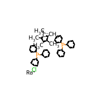 Cc1c(C)c(C)[c-](C)c1C.[Cl][Ru+].c1ccc(P(c2ccccc2)c2ccccc2)cc1.c1ccc(P(c2ccccc2)c2ccccc2)cc1